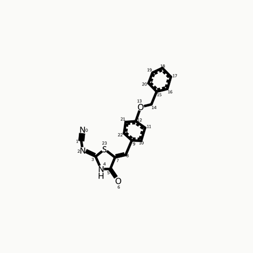 N#CN=C1NC(=O)C(=Cc2ccc(OCc3ccccc3)cc2)S1